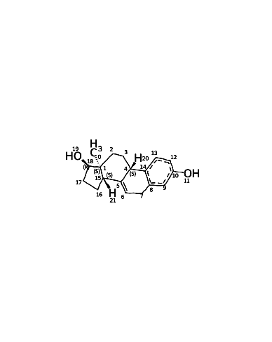 C[C@]12CC[C@H]3C(=CCc4cc(O)ccc43)[C@@H]1CC[C@H]2O